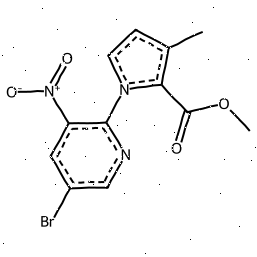 COC(=O)c1c(C)ccn1-c1ncc(Br)cc1[N+](=O)[O-]